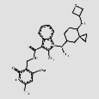 CSc1cc(C)[nH]c(=O)c1CNC(=O)c1c(C)n([C@H](C)C2CCC(NC3COC3)C3(CC3)C2)c2ccccc12